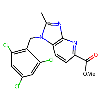 COC(=O)c1ccc2c(n1)nc(C)n2Cc1c(Cl)cc(Cl)cc1Cl